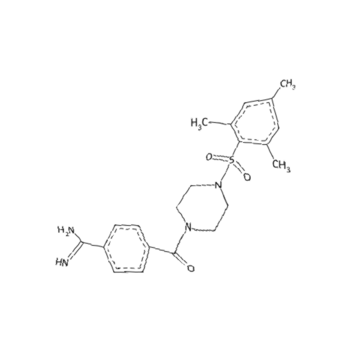 Cc1cc(C)c(S(=O)(=O)N2CCN(C(=O)c3ccc(C(=N)N)cc3)CC2)c(C)c1